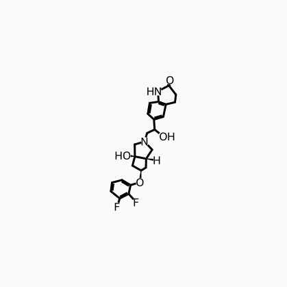 O=C1CCc2cc(C(O)CN3C[C@@H]4C[C@@H](Oc5cccc(F)c5F)C[C@]4(O)C3)ccc2N1